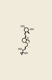 C=C1/C(=C\C=C2/CCC[C@]3(C)[C@@H]([C@H](C)/C=C/[C@H](O)C4(CCC)CC4)CC[C@@H]23)C[C@@H](O)C[C@@H]1O